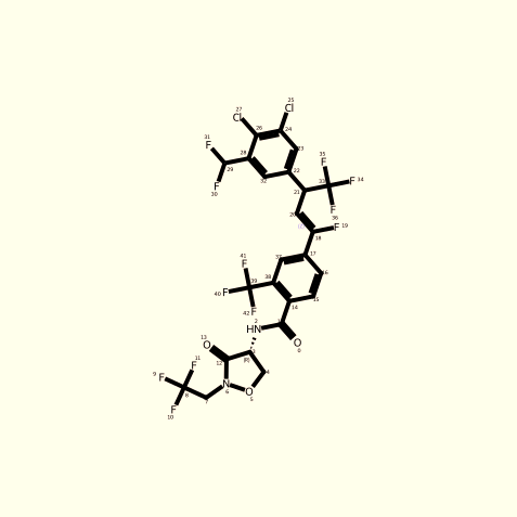 O=C(N[C@@H]1CON(CC(F)(F)F)C1=O)c1ccc(/C(F)=C/C(c2cc(Cl)c(Cl)c(C(F)F)c2)C(F)(F)F)cc1C(F)(F)F